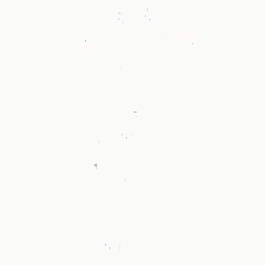 Nc1ccc2c(c1)CN(c1ccc3c(=O)[nH][nH]c(=O)c3c1)C2